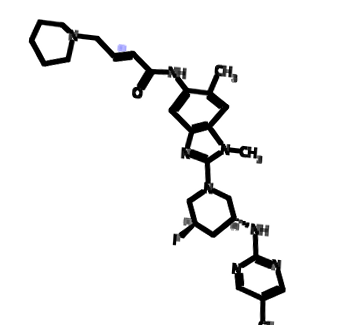 Cc1cc2c(cc1NC(=O)/C=C/CN1CCCCC1)nc(N1C[C@H](F)C[C@@H](Nc3ncc(C(F)(F)F)cn3)C1)n2C